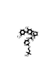 CC(C)(O)CCOc1nccc(NC(=O)N2c3nc(-c4cccc(C(F)(F)F)c4)c(Cl)cc3N3CC[C@H]2C3)n1